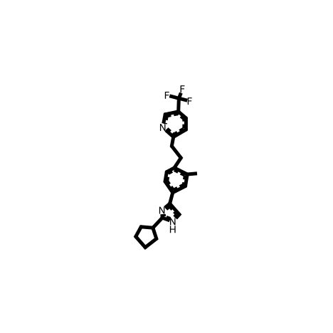 Cc1cc(-c2c[nH]c(C3CCCC3)n2)ccc1CCc1ccc(C(F)(F)F)cn1